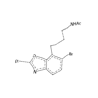 CCc1nc2ccc(Br)c(CCCNC(C)=O)c2o1